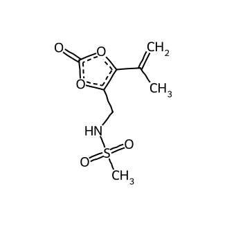 C=C(C)c1oc(=O)oc1CNS(C)(=O)=O